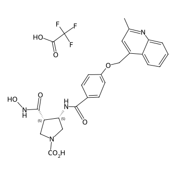 Cc1cc(COc2ccc(C(=O)N[C@@H]3CN(C(=O)O)C[C@@H]3C(=O)NO)cc2)c2ccccc2n1.O=C(O)C(F)(F)F